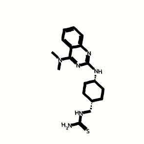 CN(C)c1nc(N[C@H]2CC[C@@H](CNC(N)=S)CC2)nc2ccccc12